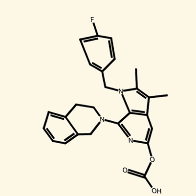 Cc1c(C)n(Cc2ccc(F)cc2)c2c(N3CCc4ccccc4C3)nc(OC(=O)O)cc12